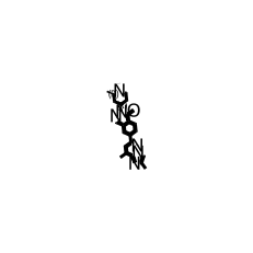 Cc1cn2nc(-c3ccc4c(=O)n([C@@H]5CCN(C)[C@H](C)C5)ncc4c3)cc(C)c2n1